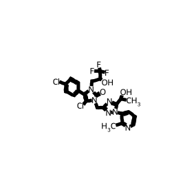 Cc1ncccc1-n1nc(Cn2c(Cl)c(-c3ccc(Cl)cc3)n(CC(O)C(F)(F)F)c2=O)nc1C(C)O